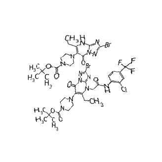 CCc1[nH]c2nc(Br)nn2c(=O)c1N1CCN(C(=O)OC(C)(C)C)CC1.CCc1c(N2CCN(C(=O)OC(C)(C)C)CC2)c(=O)n2nc(Br)nc2n1CC(=O)Nc1ccc(C(F)(F)F)cc1Cl